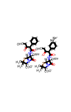 CO[C@@]1(NC(=O)C(C(=O)CC=O)c2ccccc2)C(=O)N2[C@@H](C(=O)[O-])C(C)(C)S[C@@H]21.CO[C@@]1(NC(=O)C(C(=O)CC=O)c2ccccc2)C(=O)N2[C@@H](C(=O)[O-])C(C)(C)S[C@@H]21.[Na+].[Na+]